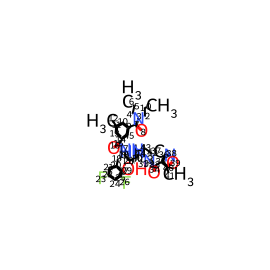 CCCN(CCC)C(=O)c1cc(C)cc(C(=O)N[C@@H](Cc2cc(F)cc(F)c2)[C@H](O)[C@H]2CN(C(=O)c3c(C)noc3C)CCN2)c1